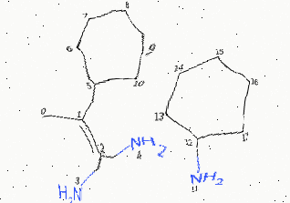 CC(=C(N)N)C1CCCCC1.NC1CCCCC1